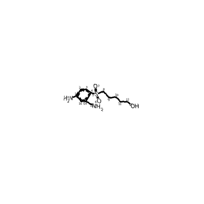 Nc1ccc(S(=O)(=O)CCCCCO)c(N)c1